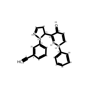 C#Cc1cccc(N2N=CCC2c2nn(-c3ccccc3)ccc2=O)c1